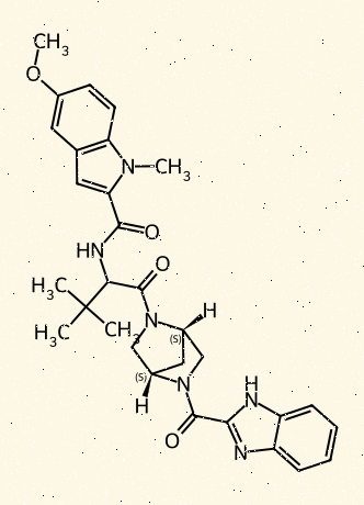 COc1ccc2c(c1)cc(C(=O)NC(C(=O)N1C[C@@H]3C[C@H]1CN3C(=O)c1nc3ccccc3[nH]1)C(C)(C)C)n2C